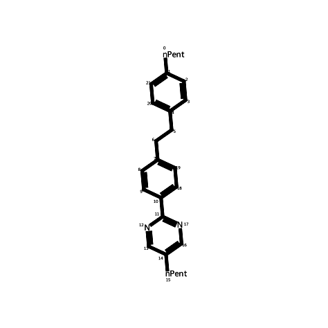 CCCCCc1ccc(CCc2ccc(-c3ncc(CCCCC)cn3)cc2)cc1